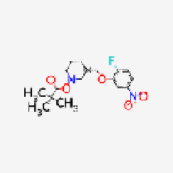 CC(C)(C)C(=O)ON1CCC[C@H](COc2cc([N+](=O)[O-])ccc2F)C1